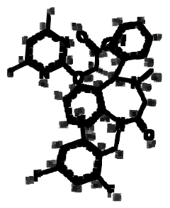 Cc1cc(C)nc(OC(C(=O)O)[C@@]2(c3ccccc3)c3ccccc3N(Cc3c(F)cc(F)cc3F)C(=O)CN2C)n1